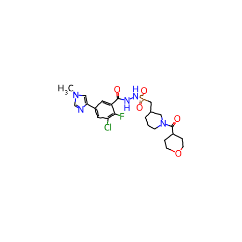 Cn1cnc(-c2cc(Cl)c(F)c(C(=O)NNS(=O)(=O)CC3CCCN(C(=O)C4CCOCC4)C3)c2)c1